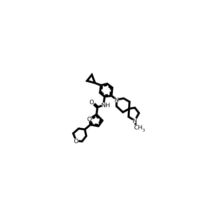 CN1CCC2(CCN(c3ccc(C4CC4)cc3NC(=O)c3ccc(C4CCOCC4)o3)CC2)C1